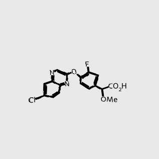 COC(C(=O)O)c1ccc(Oc2cnc3cc(Cl)ccc3n2)c(F)c1